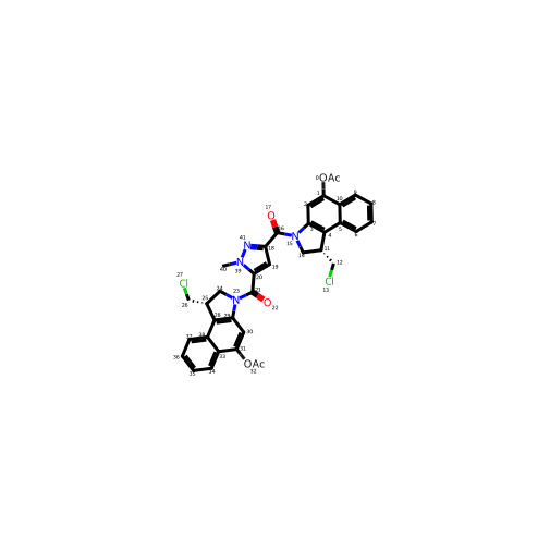 CC(=O)Oc1cc2c(c3ccccc13)[C@H](CCl)CN2C(=O)c1cc(C(=O)N2C[C@@H](CCl)c3c2cc(OC(C)=O)c2ccccc32)n(C)n1